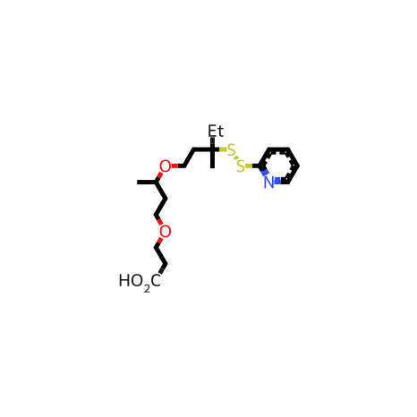 CCC(C)(CCOC(C)CCOCCC(=O)O)SSc1ccccn1